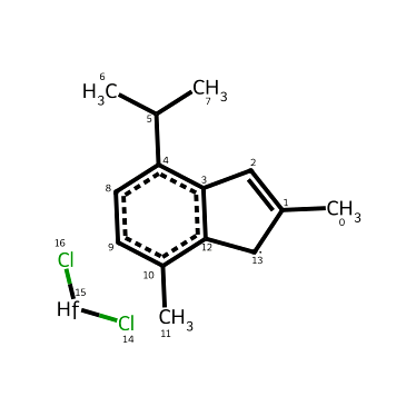 CC1=Cc2c(C(C)C)ccc(C)c2[CH]1.[Cl][Hf][Cl]